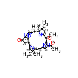 COc1c2nc(cc3cc4c([nH]3)c(c3nc(cc5cc(C(C)=O)c1[nH]5)C(C)(C)C3)CC4=O)C(C)(C)C2